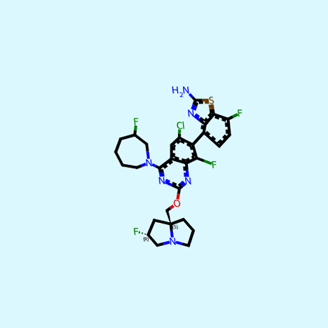 Nc1nc2c(-c3c(Cl)cc4c(N5CCCCC(F)C5)nc(OC[C@@]56CCCN5C[C@H](F)C6)nc4c3F)ccc(F)c2s1